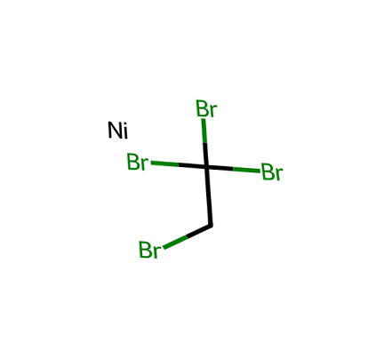 BrCC(Br)(Br)Br.[Ni]